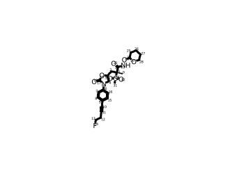 C[C@@](CC1CN(c2ccc(C#CCCF)cc2)C(=O)O1)(C(=O)NOC1CCCCO1)S(C)(=O)=O